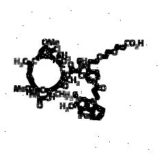 CCCC(C)C1c2c(n(CCC(=O)N3CCC(N(CCOCCOCCC(=O)O)N(C)[C@H](C)C(=O)O[C@H]4CC(=O)N(C)c5cc(cc(OC)c5Cl)C/C(C)=C/C=C/[C@@H](OC)[C@@]5(O)C[C@H](OC(=O)N5)[C@@H](C)C5O[C@]54C)CC3)c3ccccc23)CN(C)N1C